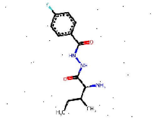 CCC(C)[C@H](N)C(=O)NNC(=O)c1ccc(F)cc1